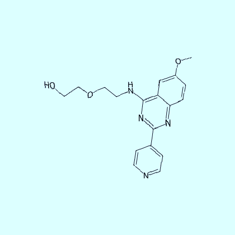 COc1ccc2nc(-c3ccncc3)nc(NCCOCCO)c2c1